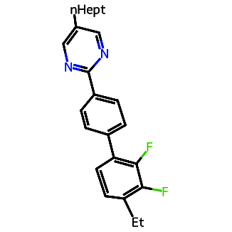 CCCCCCCc1cnc(-c2ccc(-c3ccc(CC)c(F)c3F)cc2)nc1